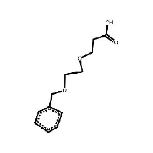 O=C(O)CCOCCOCc1ccccc1